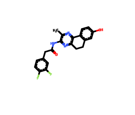 Cc1nc2c(nc1NC(=O)Cc1ccc(F)c(F)c1)CCc1cc(O)ccc1-2